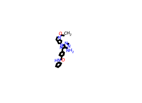 C=CC(=O)N1CCC2CC(n3nc(-c4ccc(C(=O)Nc5ccccc5)cc4)c4c(N)ncnc43)CC21